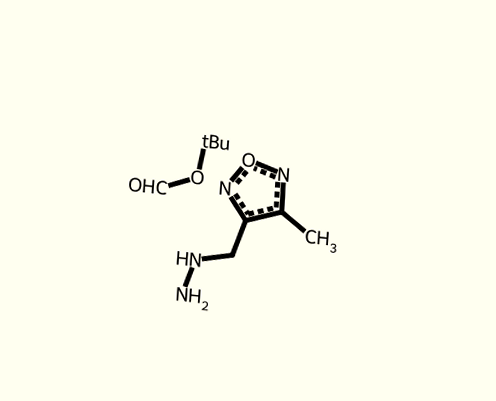 CC(C)(C)OC=O.Cc1nonc1CNN